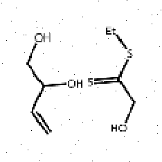 C=CC(O)CO.CCSC(=S)CO